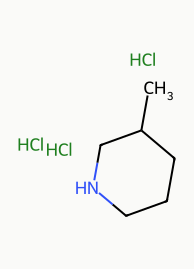 CC1CCCNC1.Cl.Cl.Cl